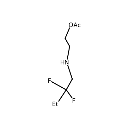 CCC(F)(F)CNCCOC(C)=O